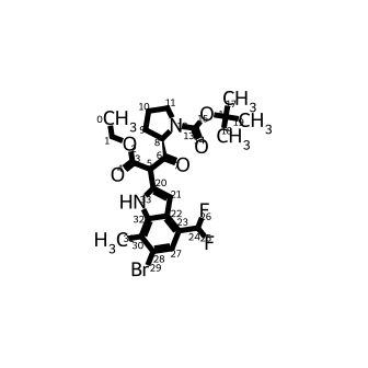 CCOC(=O)C(C(=O)[C@H]1CCCN1C(=O)OC(C)(C)C)c1cc2c(C(F)F)cc(Br)c(C)c2[nH]1